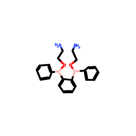 NCCOB(c1ccccc1)c1ccccc1B(OCCN)c1ccccc1